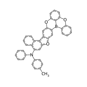 Cc1ccc(N(c2ccccc2)c2cc3oc4cc5c(cc4c3c3ccccc23)Oc2cccc3c2B5c2ccccc2O3)cc1